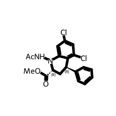 COC(=O)[C@H]1C[C@H](c2ccccc2)c2c(Cl)cc(Cl)cc2N1NC(C)=O